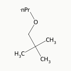 CC[CH]OCC(C)(C)C